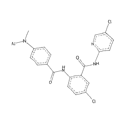 CC(=O)N(C)c1ccc(C(=O)Nc2ccc(Cl)cc2C(=O)Nc2ccc(Cl)cn2)cc1